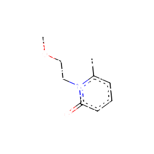 COCCn1c(C)cccc1=O